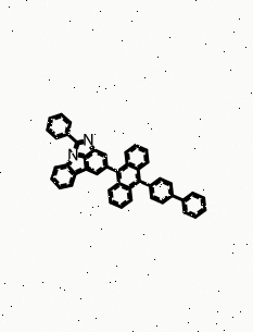 c1ccc(-c2ccc(-c3c4ccccc4c(-c4cc5nc(-c6ccccc6)n6c7ccccc7c(c4)c56)c4ccccc34)cc2)cc1